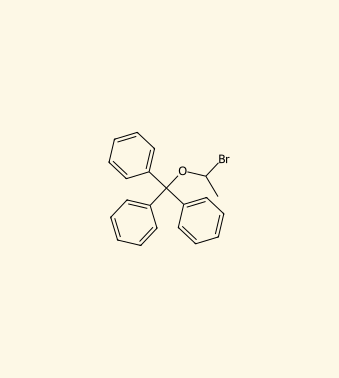 CC(Br)OC(c1ccccc1)(c1ccccc1)c1ccccc1